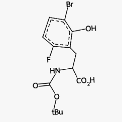 CC(C)(C)OC(=O)NC(Cc1c(F)ccc(Br)c1O)C(=O)O